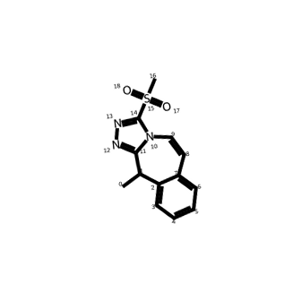 CC1c2ccccc2C=Cn2c1nnc2S(C)(=O)=O